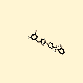 O=S(=O)(c1ccccc1Br)N1CCN(c2nc(Cc3cc(F)cc(F)c3)cs2)CC1